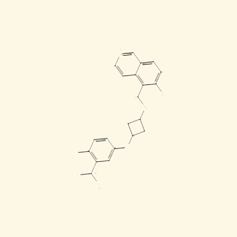 Fc1ccc(OC2CC(NCc3c(F)ccc4cnccc34)C2)cc1C(F)F